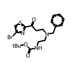 CC(C)(C)OC(=O)NCCN(CCC(=O)c1nc(Br)cs1)Cc1ccccc1